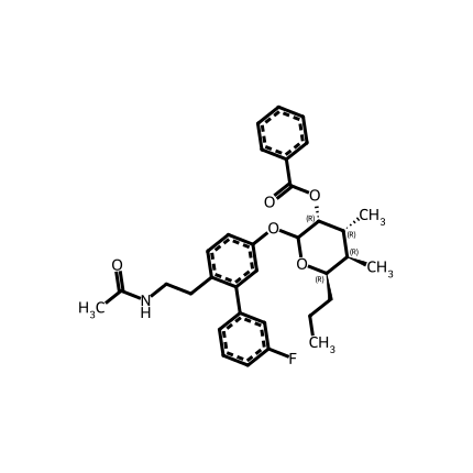 CCC[C@H]1OC(Oc2ccc(CCNC(C)=O)c(-c3cccc(F)c3)c2)[C@H](OC(=O)c2ccccc2)[C@H](C)[C@H]1C